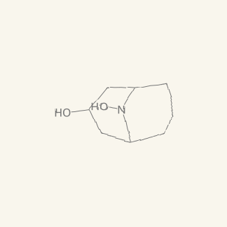 OC1CC2CCCC(C1)N2O